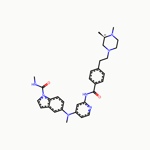 CNC(=O)n1ccc2cc(N(C)c3ccnc(NC(=O)c4ccc(CCN5CCN(C)[C@H](C)C5)cc4)c3)ccc21